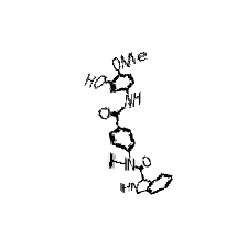 COc1ccc(NC(=O)c2ccc(NC(=O)C3NCc4ccccc43)cc2)cc1O